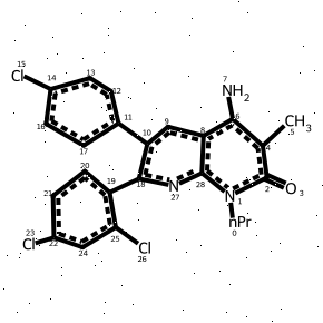 CCCn1c(=O)c(C)c(N)c2cc(-c3ccc(Cl)cc3)c(-c3ccc(Cl)cc3Cl)nc21